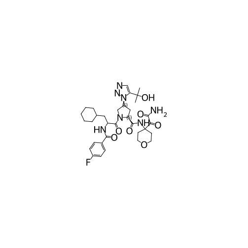 CC(C)(O)c1cnnn1[C@H]1C[C@@H](C(=O)NC2(C(=O)C(N)=O)CCOCC2)N(C(=O)C(CC2CCCCC2)NC(=O)c2ccc(F)cc2)C1